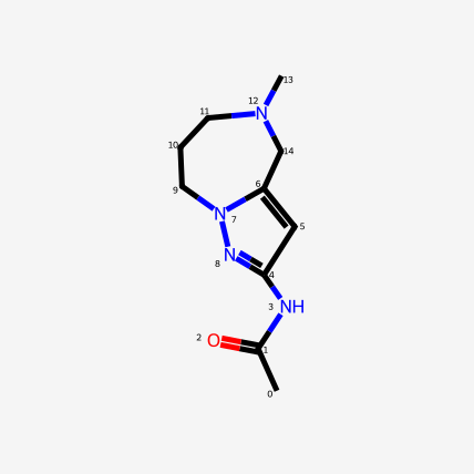 CC(=O)Nc1cc2n(n1)CCCN(C)C2